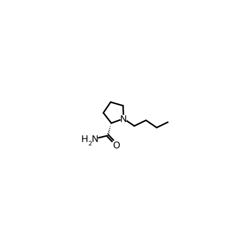 CCCCN1CCC[C@H]1C(N)=O